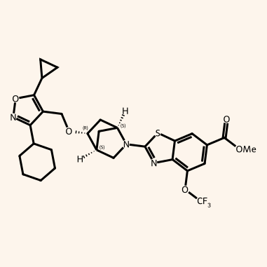 COC(=O)c1cc(OC(F)(F)F)c2nc(N3C[C@@H]4C[C@H]3C[C@H]4OCc3c(C4CCCCC4)noc3C3CC3)sc2c1